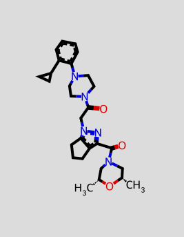 C[C@@H]1CN(C(=O)c2nn(CC(=O)N3CCN(c4ccccc4C4CC4)CC3)c3c2CCC3)C[C@H](C)O1